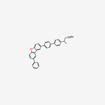 CSCC(C)c1ccc(-c2ccc(-c3ccc4oc5ccc(-c6ccccc6)cc5c4c3)cc2)cc1